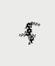 CCCc1cc(Nc2ncc(CF)cn2)c2ccc(-c3nc(OC)ccc3C)cc2n1